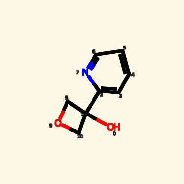 OC1(c2ccccn2)COC1